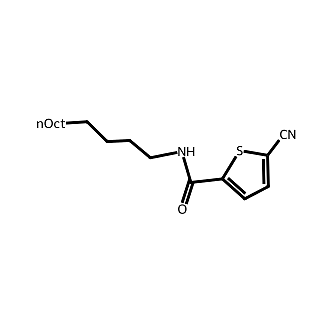 CCCCCCCCCCCCNC(=O)c1ccc(C#N)s1